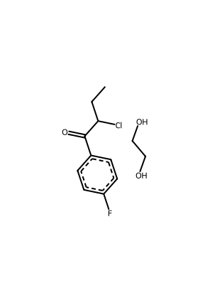 CCC(Cl)C(=O)c1ccc(F)cc1.OCCO